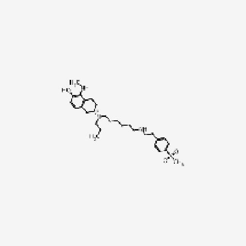 CCCN(CCCCCCNCCc1ccc(S(C)(=O)=O)cc1)[C@H]1CCc2c(ccc(O)c2NC)C1